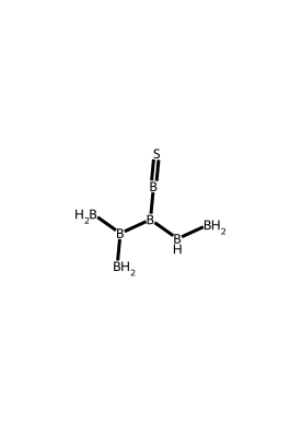 BBB(B=S)B(B)B